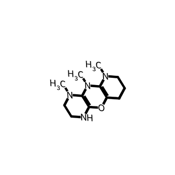 CN1CCCC2=C1N(C)C1=C(NCCN1C)O2